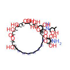 CC(C)CC(CO)NC(=O)[C@H]1[C@@H]2CC(O[C@@H]3OC[C@@H](O)[C@H](N)[C@@H]3O)/C=C/C=C/C=C/C=C/C=C/C=C/C=C/[C@H](C)[C@@H](O)C[C@H](C)OC(=O)CC(O)CC(O)CCC(O)C(O)CC(O)CC(O)(C[C@@H]1O)O2